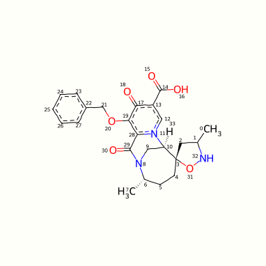 CC1C[C@]2(CC[C@H](C)N3C[C@H]2n2cc(C(=O)O)c(=O)c(OCc4ccccc4)c2C3=O)ON1